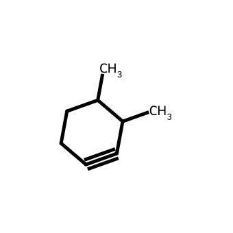 CC1C#CCCC1C